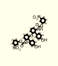 O=C(Nc1cccc(Oc2cccc(NC(=O)Oc3cccc([N+](=O)[O-])c3)c2-c2ccc(O)cc2)c1-c1ccc(O)cc1)Oc1cccc([N+](=O)[O-])c1